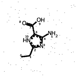 CCc1nc(N)c(C(=O)O)[nH]1